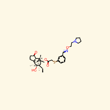 C=C[C@]1(C)C[C@@H](OC(=O)CSc2cccc(/C=N/OCCN3CCCC3)c2)[C@]2(C)C(C)CCC3(CCC(=O)C32)[C@@H](C)[C@@H]1O